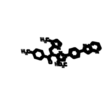 CC1CCC(C(=O)N(Cc2nccn2C)c2nn(-c3ccc(-c4cc5ncccn5n4)cc3)cc2C(=O)O)CC1